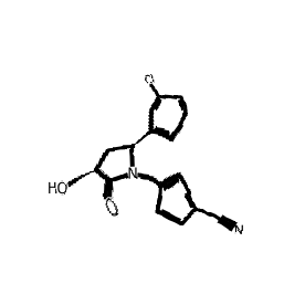 N#Cc1ccc(N2C(=O)[C@@H](O)C[C@H]2c2cccc(Cl)c2)cc1